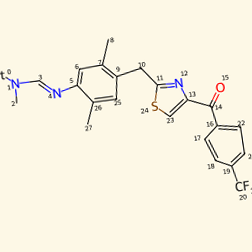 CCN(C)C=Nc1cc(C)c(Cc2nc(C(=O)c3ccc(C(F)(F)F)cc3)cs2)cc1C